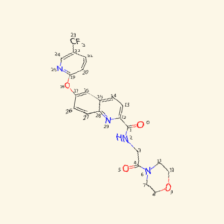 O=C(NCC(=O)N1CCOCC1)c1ccc2cc(Oc3ccc(C(F)(F)F)cn3)ccc2n1